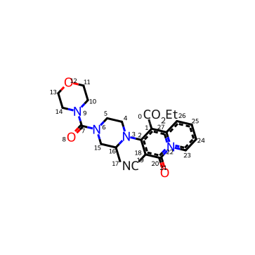 CCOC(=O)c1c(N2CCN(C(=O)N3CCOCC3)CC2C)c(C#N)c(=O)n2ccccc12